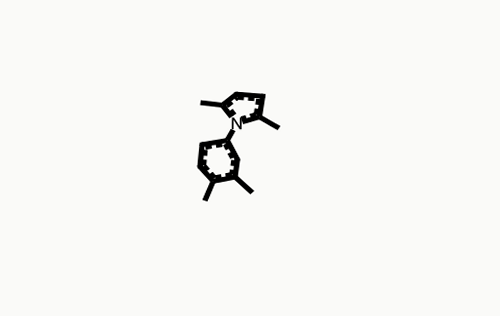 Cc1ccc(-n2c(C)ccc2C)cc1C